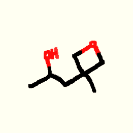 CC(O)CC1(C)COC1